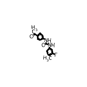 CC(=O)c1ccc(NC(=O)Nc2ccc(C)c(F)c2)cc1